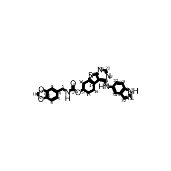 O=C(NCc1ccc2c(c1)OCO2)OC1CCc2c(sc3ncnc(Nc4ccc5[nH]ncc5c4)c23)C1